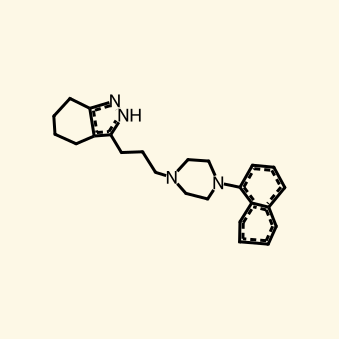 c1ccc2c(N3CCN(CCCc4[nH]nc5c4CCCC5)CC3)cccc2c1